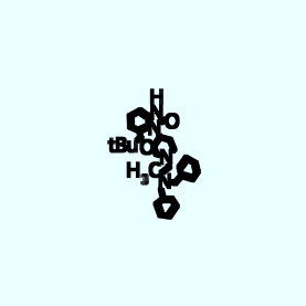 C[C@@H](CN1CCC(n2c(=O)[nH]c3cccc(C(=O)C(C)(C)C)c32)CC1)N(Cc1ccccc1)Cc1ccccc1